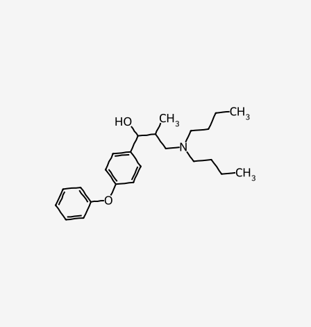 CCCCN(CCCC)CC(C)C(O)c1ccc(Oc2ccccc2)cc1